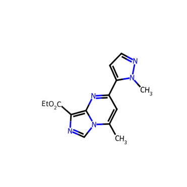 CCOC(=O)c1ncn2c(C)cc(-c3ccnn3C)nc12